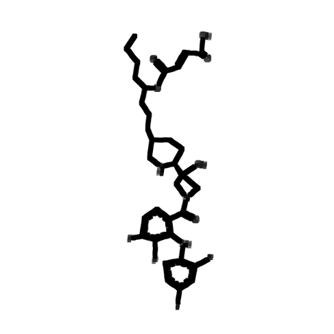 CCCCC(CCCC1CC[C@@H](C2(O)CN(C(=O)c3ccc(F)c(F)c3Nc3ccc(I)cc3F)C2)NC1)OC(=O)/C=C/C(=O)O